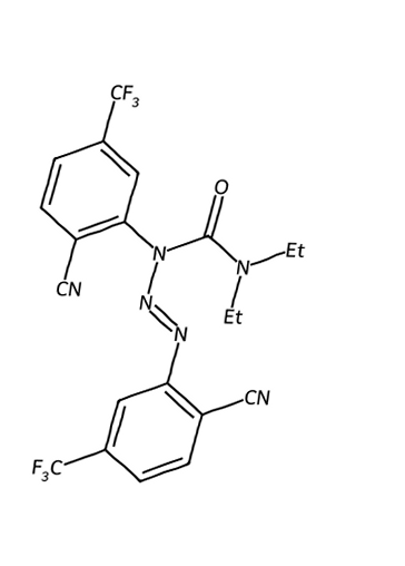 CCN(CC)C(=O)N(/N=N/c1cc(C(F)(F)F)ccc1C#N)c1cc(C(F)(F)F)ccc1C#N